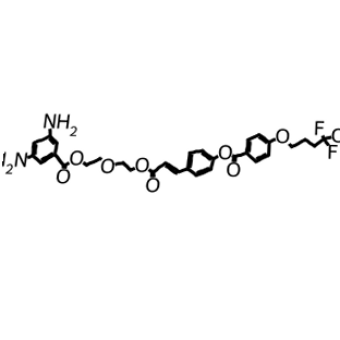 Nc1cc(N)cc(C(=O)OCCOCCOC(=O)C=Cc2ccc(OC(=O)c3ccc(OCCCC(F)(F)C(F)(F)F)cc3)cc2)c1